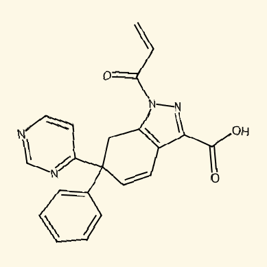 C=CC(=O)n1nc(C(=O)O)c2c1CC(c1ccccc1)(c1ccncn1)C=C2